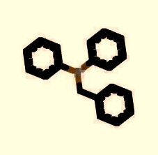 c1ccc(C[S+](c2ccccc2)c2ccccc2)cc1